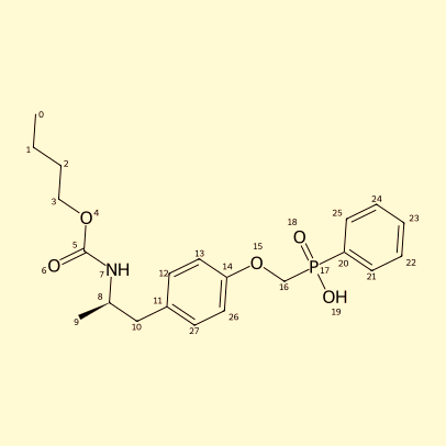 CCCCOC(=O)N[C@H](C)Cc1ccc(OCP(=O)(O)c2ccccc2)cc1